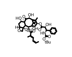 C/C=C\C=C(/C)C(=O)O[C@H]1C2[C@](C)(C(=O)[C@H](O)C3=C(C)[C@@H](OC(=O)[C@H](O)C(NC(=O)OC(C)(C)C)c4ccccc4)C[C@]1(O)C3(C)C)[C@@H](O)C[C@H]1OC[C@@]21OC(C)=O